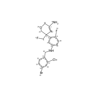 NC1=NC(CF)(c2cc(NCc3ccc(Br)cc3Cl)ccc2F)COC1